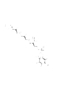 CC1=C(C)C(=O)C(CCC(C)(O)CC/C=C(\C=N)CC/C=C(\C)CC/C=C(\C)CN)=C(C)C1=O